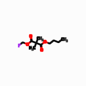 CCCCOC(=O)C(C)(C)C(=O)OCI